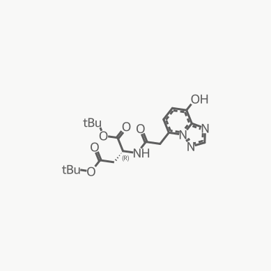 CC(C)(C)OC(=O)C[C@@H](NC(=O)Cc1ccc(O)c2ncnn12)C(=O)OC(C)(C)C